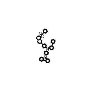 C1=CC2CC=c3nc(-c4ccccc4)oc3=C2C=C1c1ccc(N(c2ccc(-n3c4ccccc4c4ccccc43)cc2)c2cccc(-c3ccccc3)c2)cc1